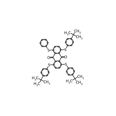 CC(C)(C)c1ccc(Sc2ccc(Sc3ccccc3)c3c2C(=O)c2c(Sc4ccc(C(C)(C)C)cc4)ccc(Sc4ccc(C(C)(C)C)cc4)c2C3=O)cc1